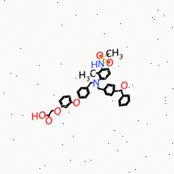 Cc1c(NS(C)(=O)=O)cccc1N(Cc1ccc(Oc2cccc(OCC(=O)O)c2)cc1)Cc1ccc(C(=O)c2ccccc2)cc1